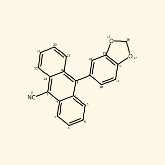 N#Cc1c2ccccc2c(-c2ccc3c(c2)OCO3)c2ccccc12